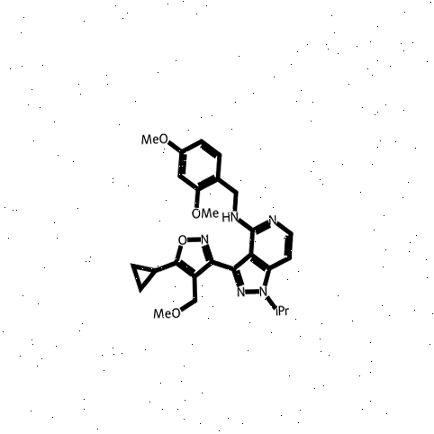 COCc1c(-c2nn(C(C)C)c3ccnc(NCc4ccc(OC)cc4OC)c23)noc1C1CC1